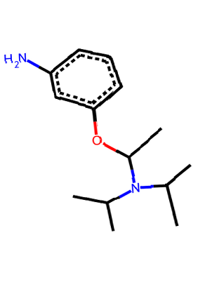 CC(C)N(C(C)C)C(C)Oc1cccc(N)c1